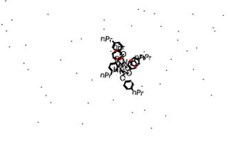 CCCc1ccc(OP(N[PH](N=[PH](Oc2ccc(CCC)cc2)Oc2ccc(CCC)cc2)(Oc2ccc(CCC)cc2)Oc2ccc(CCC)cc2)Oc2ccc(CCC)cc2)cc1